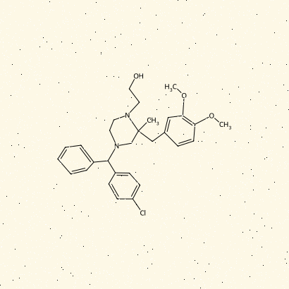 COc1ccc(CC2(C)CN(C(c3ccccc3)c3ccc(Cl)cc3)CCN2CCO)cc1OC